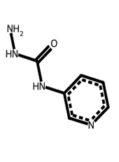 NNC(=O)Nc1cccnc1